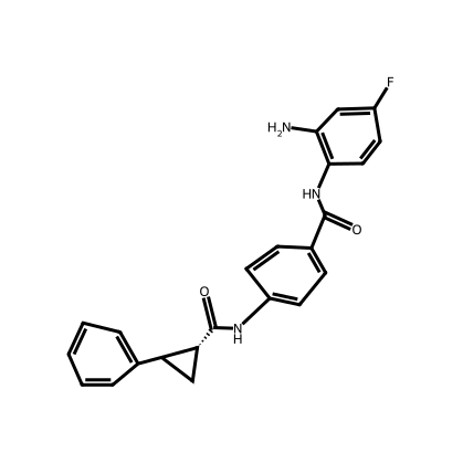 Nc1cc(F)ccc1NC(=O)c1ccc(NC(=O)[C@@H]2CC2c2ccccc2)cc1